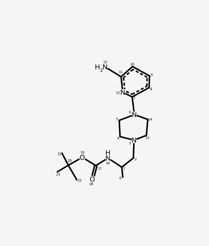 CC(CN1CCN(c2cccc(N)n2)CC1)NC(=O)OC(C)(C)C